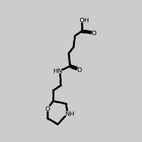 O=C(O)CCCC(=O)NCCC1CNCCO1